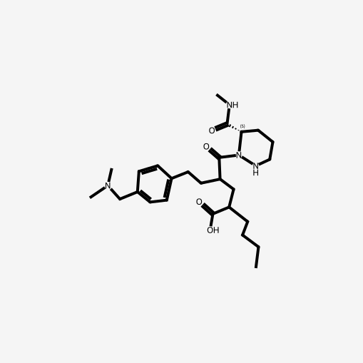 CCCCC(CC(CCc1ccc(CN(C)C)cc1)C(=O)N1NCCC[C@H]1C(=O)NC)C(=O)O